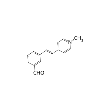 C[n+]1ccc(/C=C/c2cccc(C=O)c2)cc1